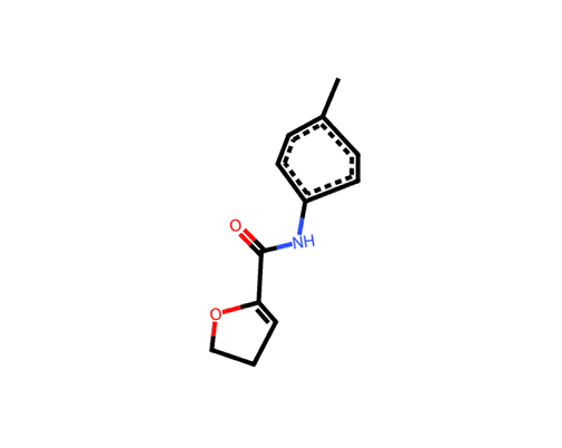 Cc1ccc(NC(=O)C2=CCCO2)cc1